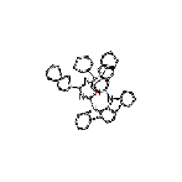 c1ccc(-c2nc(-c3ccc4ccccc4c3)nc(-n3c4ccccc4c4ccc5c6ccccc6n(-c6ccc(-c7ccccc7)c(-c7ccccc7)c6)c5c43)n2)cc1